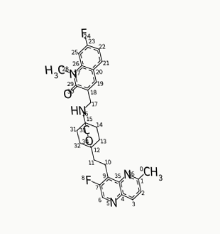 Cc1ccc2ncc(F)c(CCC34CCC(NCc5cc6ccc(F)cc6n(C)c5=O)(CC3)CO4)c2n1